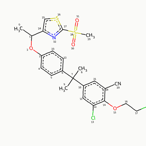 CC(Oc1ccc(C(C)(C)c2cc(Cl)c(OCCCl)c(C#N)c2)cc1)c1csc(S(C)(=O)=O)n1